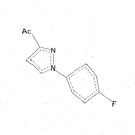 CC(=O)c1ccn(-c2ccc(F)cc2)n1